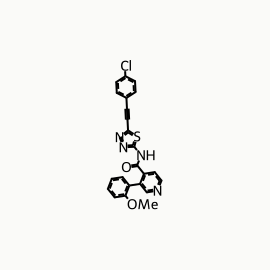 COc1ccccc1-c1cnccc1C(=O)Nc1nnc(C#Cc2ccc(Cl)cc2)s1